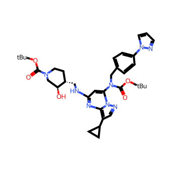 CC(C)(C)OC(=O)N1CC[C@H](CNc2cc(N(Cc3ccc(-n4cccn4)cc3)C(=O)OC(C)(C)C)n3ncc(C4CC4)c3n2)[C@@H](O)C1